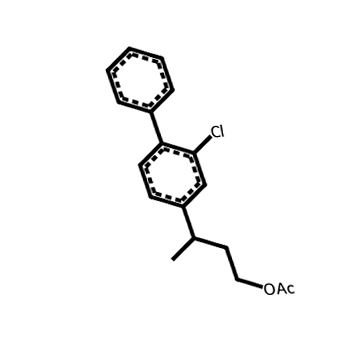 CC(=O)OCCC(C)c1ccc(-c2ccccc2)c(Cl)c1